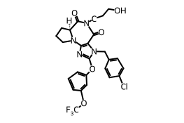 O=C1c2c(nc(Oc3cccc(OC(F)(F)F)c3)n2Cc2ccc(Cl)cc2)N2CCC[C@H]2C(=O)N1CCCO